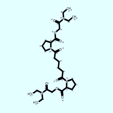 CCN(CC)C(=O)COC(=O)C1CCCN1C(=O)CCCCC(=O)N1CCCC1C(=O)OCC(=O)N(CC)CC